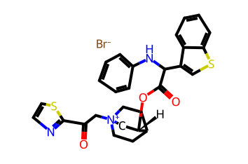 O=C(C[N+]12CCC(CC1)[C@@H](OC(=O)C(Nc1ccccc1)c1csc3ccccc13)C2)c1nccs1.[Br-]